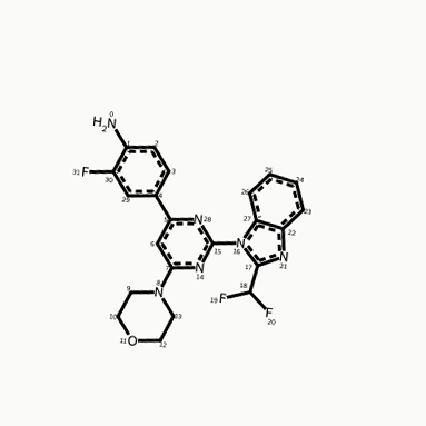 Nc1ccc(-c2cc(N3CCOCC3)nc(-n3c(C(F)F)nc4ccccc43)n2)cc1F